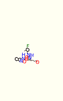 Cc1cc(F)ccc1CNC(=O)N(C)[C@@H](CCCC=O)COC(=O)Nc1cc2ccccc2cn1